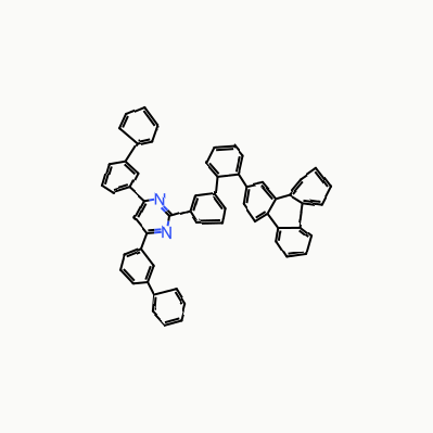 c1ccc(-c2cccc(-c3cc(-c4cccc(-c5ccccc5)c4)nc(-c4cccc(-c5ccccc5-c5ccc6c7ccccc7c7ccccc7c6c5)c4)n3)c2)cc1